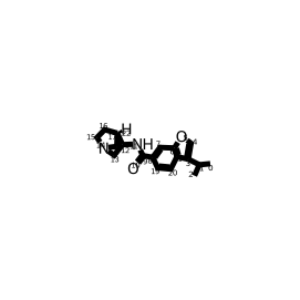 CC(C)c1coc2cc(C(=O)NC3CN4CC[C@H]3C4)ccc12